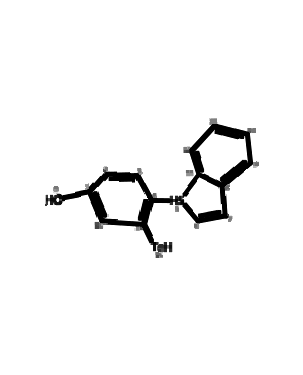 Oc1ccc([SH]2C=Cc3ccccc32)c([TeH])c1